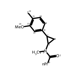 CCCC(=O)N(C)C1CC1c1ccc(I)c(OC)c1